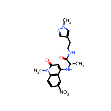 C[C@@H](Nc1cc(=O)n(C)c2ccc([N+](=O)[O-])cc12)C(=O)NCCc1cnn(C)c1